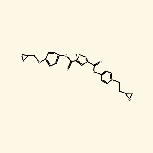 O=C(Oc1ccc(CCC2CO2)cc1)c1cc(C(=O)Oc2ccc(OCC3CO3)cc2)[nH]n1